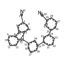 N#Cc1ccc2c(c1)c1ccccc1n2-c1cccc(-c2cccc(-c3cccc(C#N)n3)c2)c1